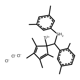 CC1=C(C)[C]([Ti+3])(C([SiH2]c2cc(C)cc(C)c2)c2cc(C)ccc2C)C(C)=C1C.[Cl-].[Cl-].[Cl-]